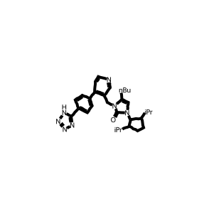 CCCCc1cn(C2C(C(C)C)CCC2C(C)C)c(=O)n1Cc1cnccc1-c1ccc(-c2nnn[nH]2)cc1